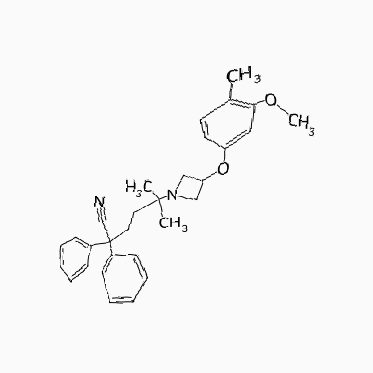 COc1cc(OC2CN(C(C)(C)CCC(C#N)(c3ccccc3)c3ccccc3)C2)ccc1C